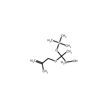 C=C(C)COC(C)(O[Si](C)(C)C)[SiH2]O